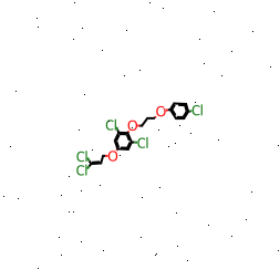 ClC(Cl)=CCOc1cc(Cl)c(OCCCOc2ccc(Cl)cc2)c(Cl)c1